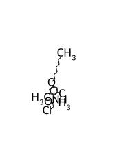 CCCCCCCCOc1cc(C)c(NC(=O)CCl)c(C)c1